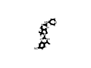 CC(NC(=O)N1Cc2nc(NC3CCOCC3)ncc2C1(C)C)c1ccc(C#N)cc1